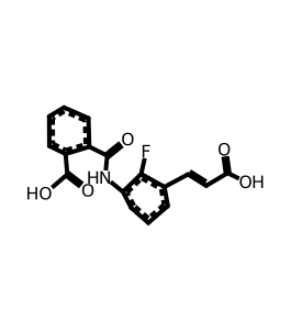 O=C(O)/C=C/c1cccc(NC(=O)c2ccccc2C(=O)O)c1F